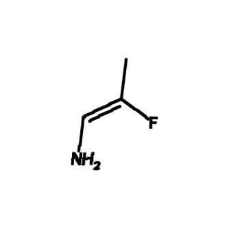 CC(F)=CN